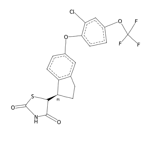 O=C1NC(=O)C([C@@H]2CCc3cc(Oc4ccc(OC(F)(F)F)cc4Cl)ccc32)S1